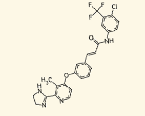 Cc1c(Oc2cccc(C=CC(=O)Nc3ccc(Cl)c(C(F)(F)F)c3)c2)ccnc1C1=NCCN1